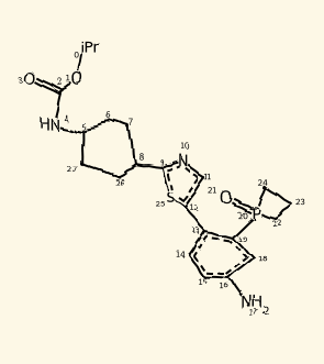 CC(C)OC(=O)NC1CCC(c2ncc(-c3ccc(N)cc3P3(=O)CCC3)s2)CC1